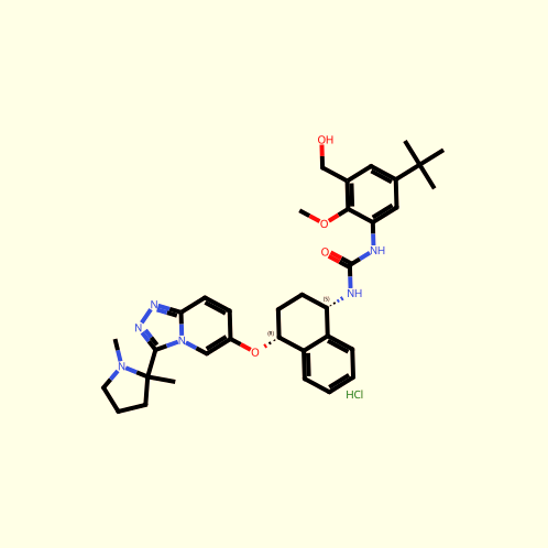 COc1c(CO)cc(C(C)(C)C)cc1NC(=O)N[C@H]1CC[C@@H](Oc2ccc3nnc(C4(C)CCCN4C)n3c2)c2ccccc21.Cl